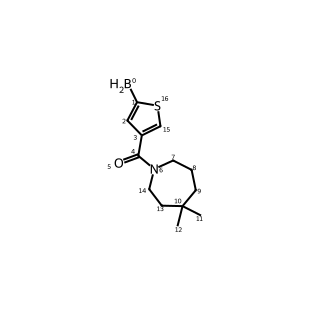 Bc1cc(C(=O)N2CCCC(C)(C)CC2)cs1